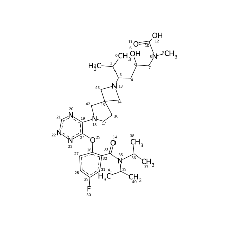 CC(C)C(CC(O)CN(C)C(=O)O)N1CC2(CCN(c3ncnnc3Oc3ccc(F)cc3C(=O)N(C(C)C)C(C)C)C2)C1